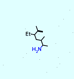 C=C(C)C(CC)CC(C)C(C)N